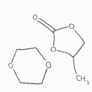 C1COCCO1.CC1COC(=O)O1